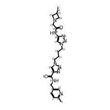 Cc1ccc(CNC(=O)c2cn(CCCCn3cc(NC(=O)CN4CC(F)C4)nn3)nn2)cn1